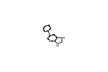 c1ccc(-c2cnc3c(c2)NCN3)cc1